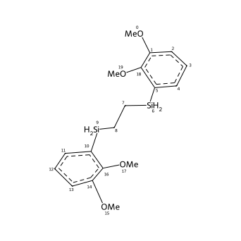 COc1cccc([SiH2]CC[SiH2]c2cccc(OC)c2OC)c1OC